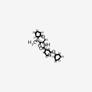 CN1C(=O)C(NC(=O)c2ccnc(Oc3ccccc3)c2)COc2ccccc21